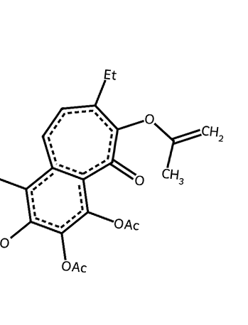 C=C(C)Oc1c(CC)ccc2c(CC)c(OC(C)=O)c(OC(C)=O)c(OC(C)=O)c2c1=O